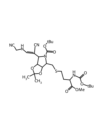 COC(=O)C(CCSCC1C2OC(C)(C)OC2C(C(C#N)=CNCC#N)N1C(=O)OC(C)(C)C)NC(=O)OC(C)(C)C